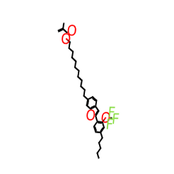 C=C(C)C(=O)OCCCCCCCCCCCCc1ccc2cc(-c3ccc(CCCCC)cc3OC(F)(F)F)oc2c1